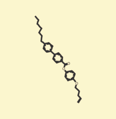 C=CCCCOc1ccc(OC(=O)c2ccc(-c3ccc(CCCCCCC)cc3)cc2)cc1